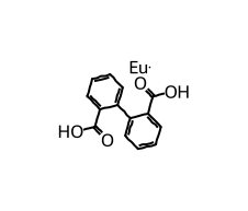 O=C(O)c1ccccc1-c1ccccc1C(=O)O.[Eu]